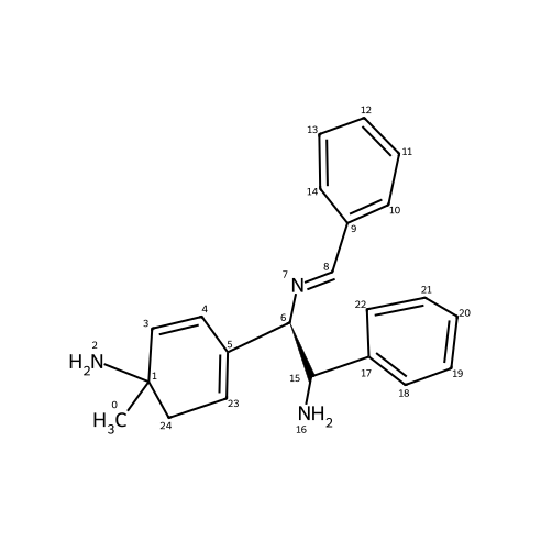 CC1(N)C=CC([C@@H](/N=C/c2ccccc2)C(N)c2ccccc2)=CC1